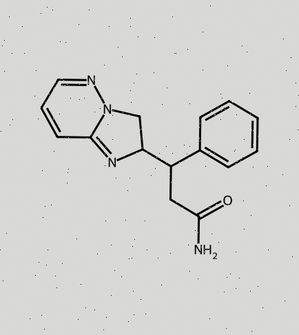 NC(=O)CC(c1ccccc1)C1CN2N=CC=CC2=N1